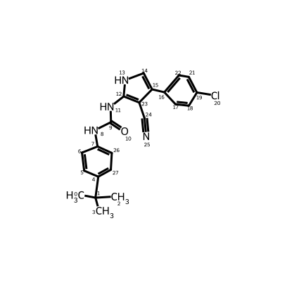 CC(C)(C)c1ccc(NC(=O)Nc2[nH]cc(-c3ccc(Cl)cc3)c2C#N)cc1